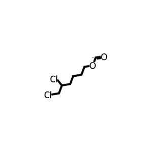 O=[C]OCCCCC(Cl)CCl